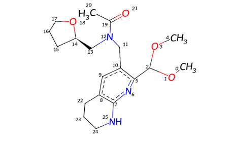 COC(OC)c1nc2c(cc1CN(C[C@H]1CCCO1)C(C)=O)CCCN2